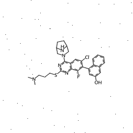 CN(C)CCCSc1nc(N2CC3CCC(C2)N3)c2cc(Cl)c(-c3cc(O)cc4ccccc34)c(F)c2n1